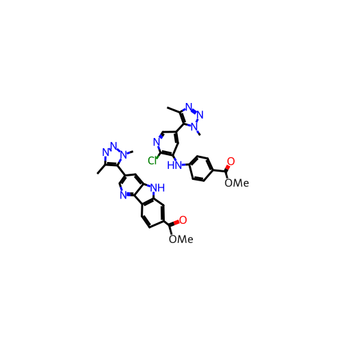 COC(=O)c1ccc(Nc2cc(-c3c(C)nnn3C)cnc2Cl)cc1.COC(=O)c1ccc2c(c1)[nH]c1cc(-c3c(C)nnn3C)cnc12